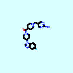 Nc1ncc(CN2CCC(C(=O)N3CCC(n4cnc5cc(F)ccc54)CC3)CC2)cn1